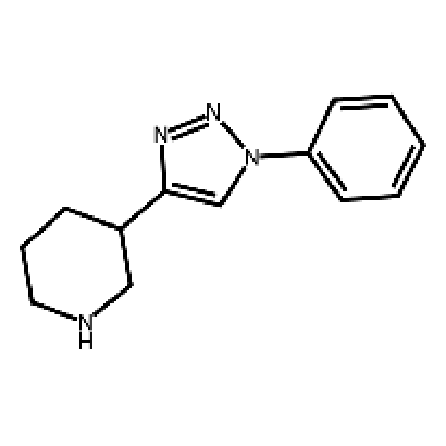 c1ccc(-n2cc(C3CCCNC3)nn2)cc1